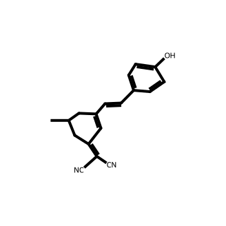 CC1CC(C=Cc2ccc(O)cc2)=CC(=C(C#N)C#N)C1